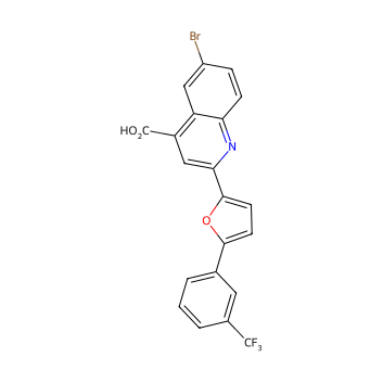 O=C(O)c1cc(-c2ccc(-c3cccc(C(F)(F)F)c3)o2)nc2ccc(Br)cc12